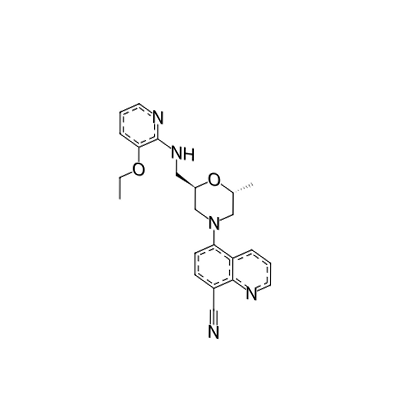 CCOc1cccnc1NC[C@@H]1CN(c2ccc(C#N)c3ncccc23)C[C@@H](C)O1